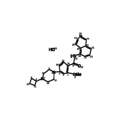 COc1cc(N2CCN(C3CCC3)CC2)ccc1C(=O)Nc1cccc2cnccc12.Cl